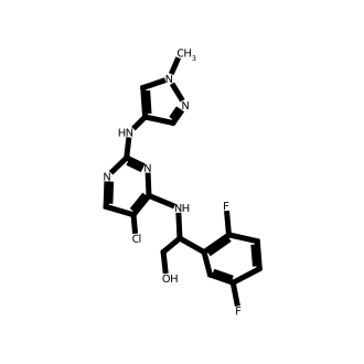 Cn1cc(Nc2ncc(Cl)c(NC(CO)c3cc(F)ccc3F)n2)cn1